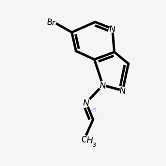 C/C=N/n1ncc2ncc(Br)cc21